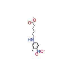 COC(=O)CCCCCNc1ccc([N+](=O)[O-])c(C)c1